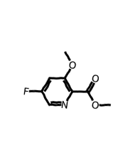 COC(=O)c1ncc(F)cc1OC